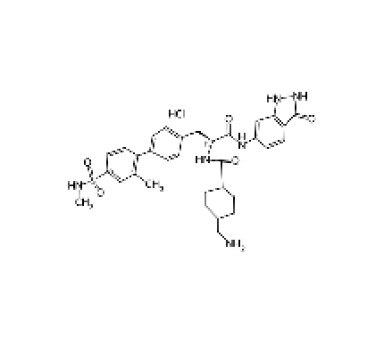 CNS(=O)(=O)c1ccc(-c2ccc(C[C@H](NC(=O)C3CCC(CN)CC3)C(=O)Nc3ccc4c(=O)[nH][nH]c4c3)cc2)c(C)c1.Cl